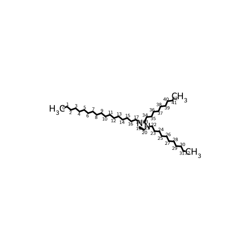 CCCCCCCCCCCCCCCCCC[n+]1ccn(CCCCCCCCCCC)c1CCCCCCCCC